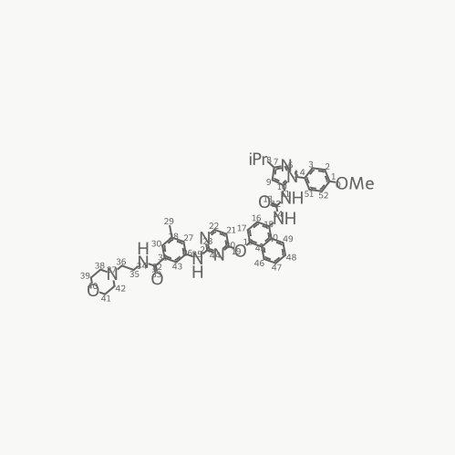 COc1ccc(-n2nc(C(C)C)cc2NC(=O)Nc2ccc(Oc3ccnc(Nc4cc(C)cc(C(=O)NCCN5CCOCC5)c4)n3)c3ccccc23)cc1